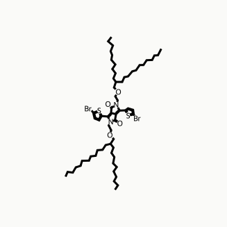 CCCCCCCCCCCCC(CCCCCCCCCC)COCCN1C(=O)C2=C(c3ccc(Br)s3)N(CCOCC(CCCCCCCCCC)CCCCCCCCCCCC)C(=O)C2=C1c1ccc(Br)s1